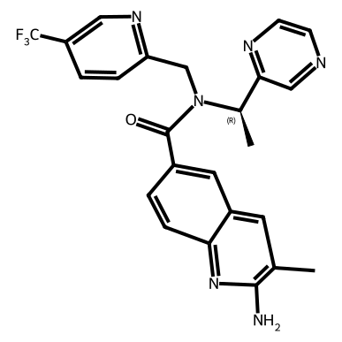 Cc1cc2cc(C(=O)N(Cc3ccc(C(F)(F)F)cn3)[C@H](C)c3cnccn3)ccc2nc1N